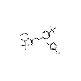 Cc1nnn(Cc2cc(C(F)(F)F)ccc2C=CC(=O)N2CCCCC2C(F)(F)F)n1